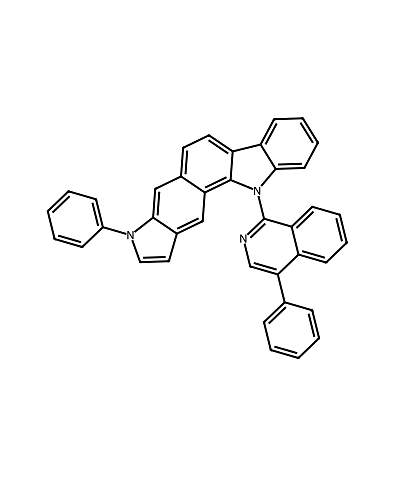 c1ccc(-c2cnc(-n3c4ccccc4c4ccc5cc6c(ccn6-c6ccccc6)cc5c43)c3ccccc23)cc1